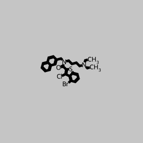 CCN(CC)CCCCN(Cc1ccc2ccccc2c1)C(=O)c1sc2cccc(Br)c2c1Cl